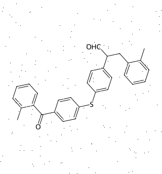 Cc1ccccc1CC(C=O)c1ccc(Sc2ccc(C(=O)c3ccccc3C)cc2)cc1